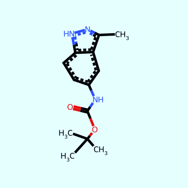 Cc1n[nH]c2ccc(NC(=O)OC(C)(C)C)cc12